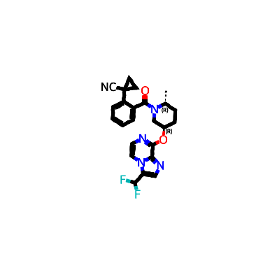 C[C@@H]1CC[C@@H](Oc2nccn3c(C(F)F)cnc23)CN1C(=O)c1ccccc1C1(C#N)CC1